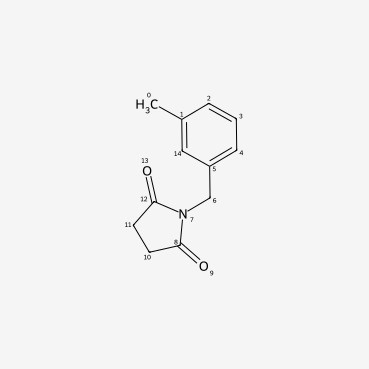 Cc1cccc(CN2C(=O)CCC2=O)c1